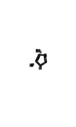 B.F.c1c[nH]cn1